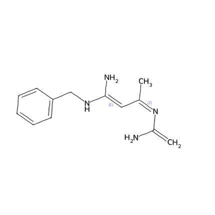 C=C(N)/N=C(C)\C=C(/N)NCc1ccccc1